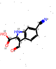 N#Cc1ccc2c(C=O)c(C(=O)O)[nH]c2c1